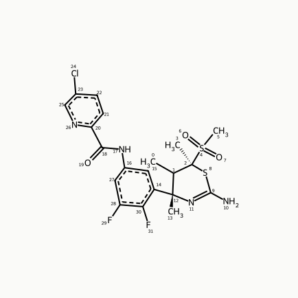 CC1[C@@](C)(S(C)(=O)=O)SC(N)=N[C@]1(C)c1cc(NC(=O)c2ccc(Cl)cn2)cc(F)c1F